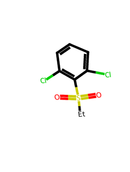 CCS(=O)(=O)c1c(Cl)cccc1Cl